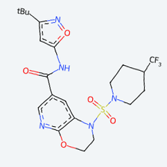 CC(C)(C)c1cc(NC(=O)c2cnc3c(c2)N(S(=O)(=O)N2CCC(C(F)(F)F)CC2)CCO3)on1